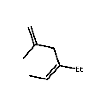 C=C(C)CC(=CC)CC